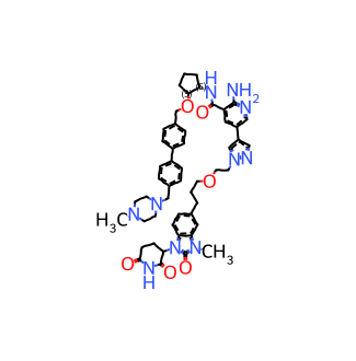 CN1CCN(Cc2ccc(-c3ccc(CO[C@H]4CCC[C@@H]4NC(=O)c4cc(-c5cnn(CCOCCCc6ccc7c(c6)n(C)c(=O)n7C6CCC(=O)NC6=O)c5)cnc4N)cc3)cc2)CC1